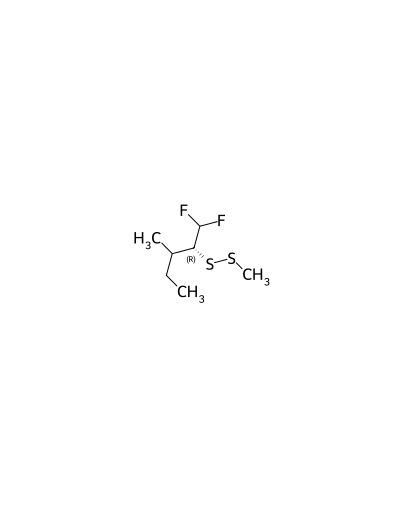 CCC(C)[C@@H](SSC)C(F)F